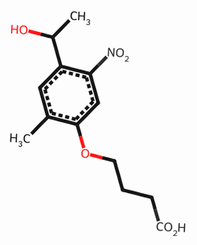 Cc1cc(C(C)O)c([N+](=O)[O-])cc1OCCCC(=O)O